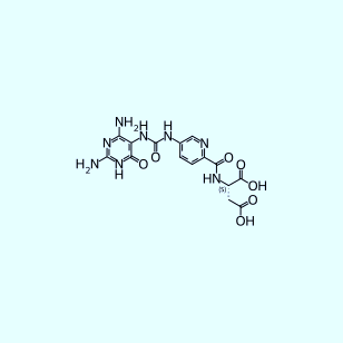 Nc1nc(N)c(NC(=O)Nc2ccc(C(=O)N[C@@H](CC(=O)O)C(=O)O)nc2)c(=O)[nH]1